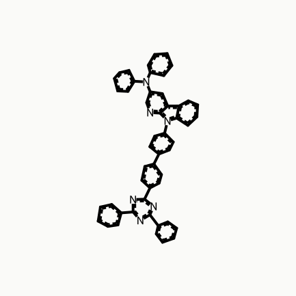 c1ccc(-c2nc(-c3ccccc3)nc(-c3ccc(-c4ccc(-n5c6ccccc6c6cc(N(c7ccccc7)c7ccccc7)cnc65)cc4)cc3)n2)cc1